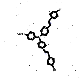 COc1ccc(N(c2ccc(/C=C/c3ccc(Br)cc3)cc2)c2ccc(/C=C/c3ccc(Br)cc3)cc2)cc1